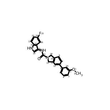 COc1cccc(-c2ccc3c(c2)CN(C(=O)Nc2c[nH]c4ccc(F)cc24)C3)c1